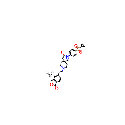 Cc1c(CCN2CCC3(CC2)CC(=O)N(c2ccc(S(=O)(=O)C4CC4)cc2)C3)ccc2c1COC2=O